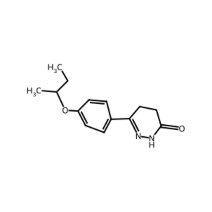 CCC(C)Oc1ccc(C2=NNC(=O)CC2)cc1